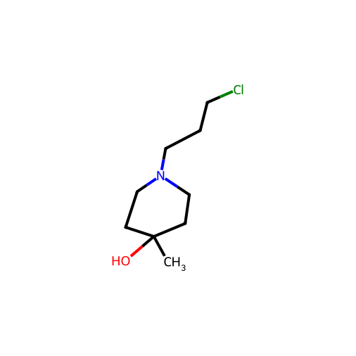 CC1(O)CCN(CCCCl)CC1